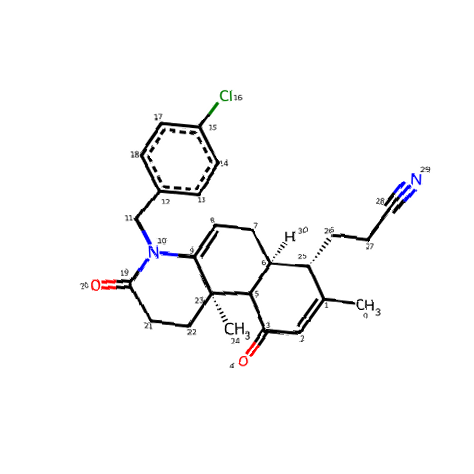 CC1=CC(=O)C2[C@@H](CC=C3N(Cc4ccc(Cl)cc4)C(=O)CC[C@@]32C)[C@@H]1CCC#N